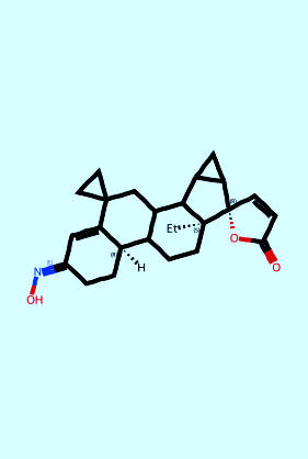 CC[C@]12CCC3C(CC4(CC4)C4=C/C(=N/O)CC[C@@H]43)C1C1CC1[C@@]21C=CC(=O)O1